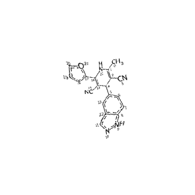 CC1=C(C#N)C(c2ccc3[nH]ncc3c2)C(C#N)=C(c2ccco2)N1